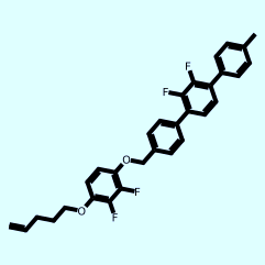 C=CCCCOc1ccc(OCc2ccc(-c3ccc(-c4ccc(C)cc4)c(F)c3F)cc2)c(F)c1F